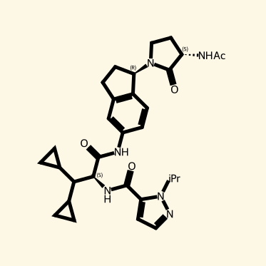 CC(=O)N[C@H]1CCN([C@@H]2CCc3cc(NC(=O)[C@@H](NC(=O)c4ccnn4C(C)C)C(C4CC4)C4CC4)ccc32)C1=O